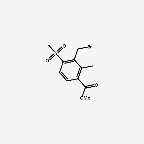 COC(=O)c1ccc(S(C)(=O)=O)c(CBr)c1C